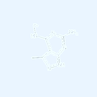 Cc1n[nH]c2nc(N)nc(NC(C)C)c12